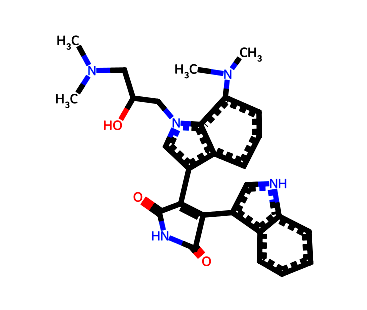 CN(C)CC(O)Cn1cc(C2=C(c3c[nH]c4ccccc34)C(=O)NC2=O)c2cccc(N(C)C)c21